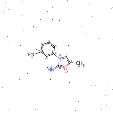 Cc1cn(-c2cccc(C(F)(F)F)c2)c(=N)o1